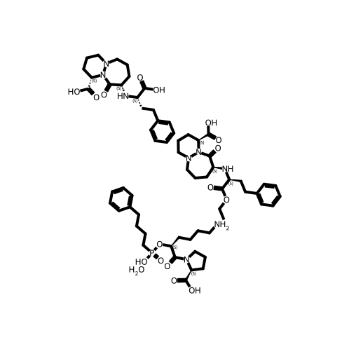 CCOC(=O)[C@H](CCc1ccccc1)N[C@H]1CCCN2CCC[C@@H](C(=O)O)N2C1=O.NCCCC[C@H](OP(=O)(O)CCCCc1ccccc1)C(=O)N1CCC[C@H]1C(=O)O.O.O=C(O)[C@H](CCc1ccccc1)N[C@H]1CCCN2CCC[C@@H](C(=O)O)N2C1=O